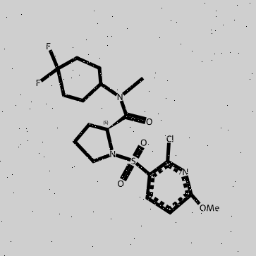 COc1ccc(S(=O)(=O)N2CCC[C@H]2C(=O)N(C)C2CCC(F)(F)CC2)c(Cl)n1